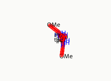 COCCOCCOCCOCCOCCOCCOCCOCCOCCOCC(=O)NCCCC[C@H](NC(=O)CCCNC(=O)[C@H]([C@@H](C(=O)NCCCC(=O)N[C@@H](CCCCNC(=O)COCCOCCOCCOCCOCCOCCOCCOCCOCCOC)C(=O)N[C@H](C(=O)OC(C)(C)C)C(C)C)N1C(=O)C=CC1=O)N1C(=O)C=CC1=O)C(=O)N[C@H](C(=O)OC(C)(C)C)C(C)C